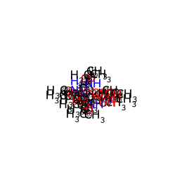 CN(C(=O)OC(C)(C)C)[C@@H]1C(O)[C@@H](O[C@@H]2C(O)C(O[C@H]3O[C@H](CNC(=O)OC(C)(C)C)CCC3NC(=O)OC(C)(C)C)[C@H](NC(=O)OC(C)(C)C)C(O)[C@H]2NC(=O)OC(C)(C)C)OC[C@]1(C)O